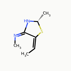 C/C=C1/S[C@@H](C)N/C1=N/C